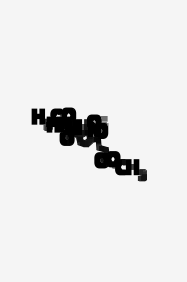 CCOC(=O)CCCc1ccc(C(=O)NNC(C)=O)cc1[N+](=O)[O-]